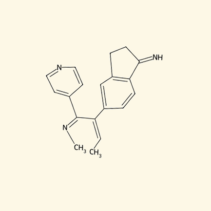 C/C=C(\C(=N/C)c1ccncc1)c1ccc2c(c1)CCC2=N